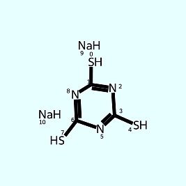 Sc1nc(S)nc(S)n1.[NaH].[NaH]